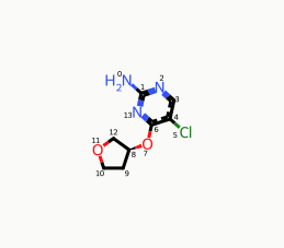 Nc1ncc(Cl)c(O[C@H]2CCOC2)n1